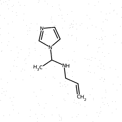 C=CCNC(C)n1ccnc1